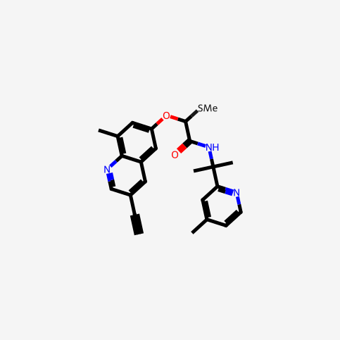 C#Cc1cnc2c(C)cc(OC(SC)C(=O)NC(C)(C)c3cc(C)ccn3)cc2c1